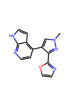 Cn1cc(-c2ccnc3[nH]ccc23)c(-c2ncco2)n1